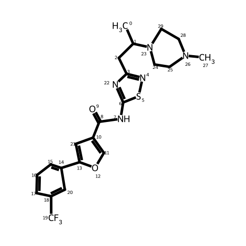 CC(Cc1nsc(NC(=O)c2coc(-c3cccc(C(F)(F)F)c3)c2)n1)N1CCN(C)CC1